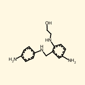 Nc1ccc(NCc2cc(N)ccc2NCCO)cc1